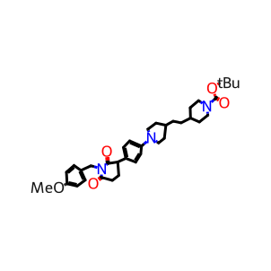 COc1ccc(CN2C(=O)CCC(c3ccc(N4CCC(CCC5CCN(C(=O)OC(C)(C)C)CC5)CC4)cc3)C2=O)cc1